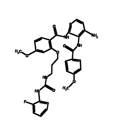 COc1ccc(C(=O)Nc2c(N)ccnc2NC(=O)c2ccc(OC)cc2OCCCNC(=O)Nc2ccccc2F)cc1